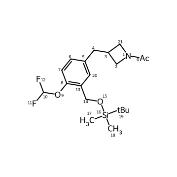 CC(=O)N1CC(Cc2ccc(OC(F)F)c(CO[Si](C)(C)C(C)(C)C)c2)C1